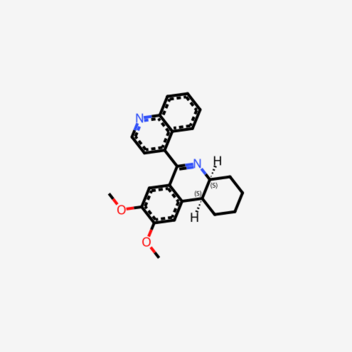 COc1cc2c(cc1OC)[C@@H]1CCCC[C@@H]1N=C2c1ccnc2ccccc12